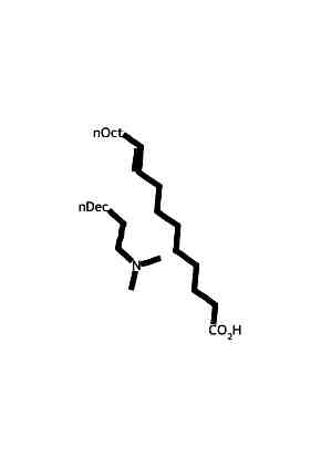 CCCCCCCCC=CCCCCCCCC(=O)O.CCCCCCCCCCCCN(C)C